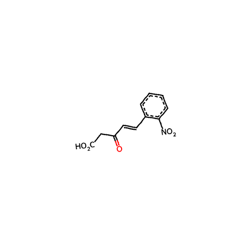 O=C(O)CC(=O)/C=C/c1ccccc1[N+](=O)[O-]